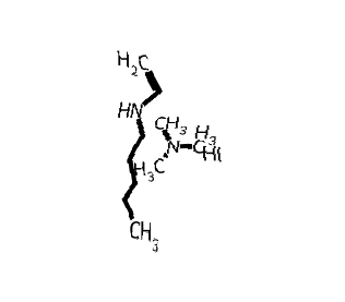 C=CNCCCCC.CN(C)C.I